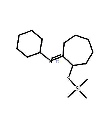 C[Si](C)(C)SC1CCCCC/C1=N\C1CCCCC1